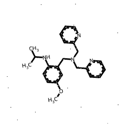 COc1ccc(NC(C)C)c(CN(Cc2ccccn2)Cc2ccccn2)c1